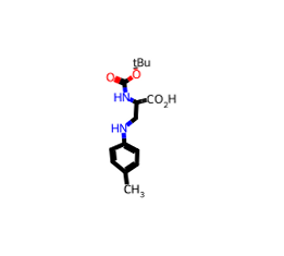 Cc1ccc(NCC(NC(=O)OC(C)(C)C)C(=O)O)cc1